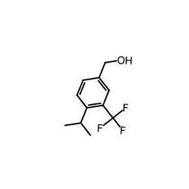 CC(C)c1ccc(CO)cc1C(F)(F)F